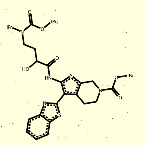 CC(C)N(CCC(O)C(=O)Nc1sc2c(c1-c1nc3ccccc3s1)CCN(C(=O)OC(C)(C)C)C2)C(=O)OC(C)(C)C